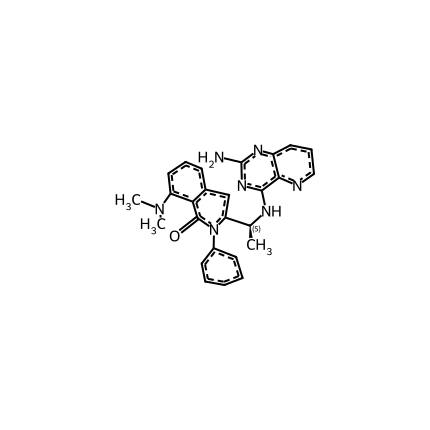 C[C@H](Nc1nc(N)nc2cccnc12)c1cc2cccc(N(C)C)c2c(=O)n1-c1ccccc1